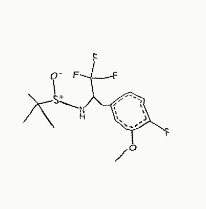 COc1cc(C(N[S+]([O-])C(C)(C)C)C(F)(F)F)ccc1F